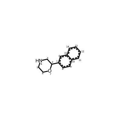 [c]1c(C2CNCCO2)ccc2ccccc12